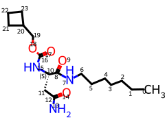 CCCCCCCNC(=O)[C@H](CC(N)=O)NC(=O)OCC1CCC1